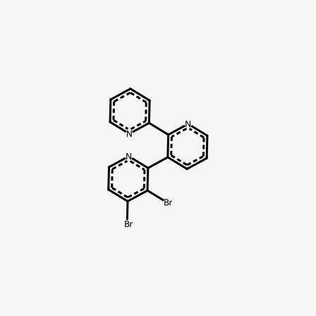 Brc1ccnc(-c2cccnc2-c2ccccn2)c1Br